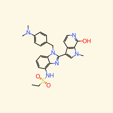 CCS(=O)(=O)Nc1cccc2c1nc(-c1cn(C)c3c(O)nccc13)n2Cc1ccc(N(C)C)cc1